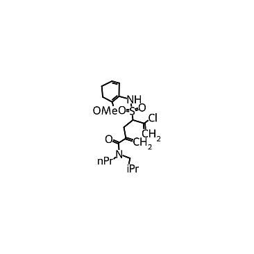 C=C(CC(C(=C)Cl)S(=O)(=O)NC1=C(OC)CCC=C1)C(=O)N(CCC)CC(C)C